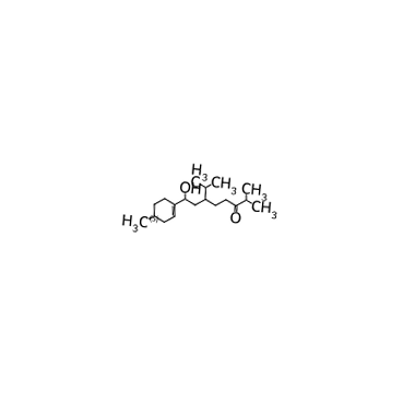 CC(C)C(=O)CCC(CC(O)C1=CC[C@@H](C)CC1)C(C)C